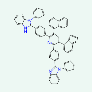 c1ccc(N2c3ccccc3NC2c2ccc(-c3nc(-c4ccc(-c5nc6ccccc6n5-c5ccccc5)cc4)c(-c4cccc5ccccc45)cc3-c3cccc4ccccc34)cc2)cc1